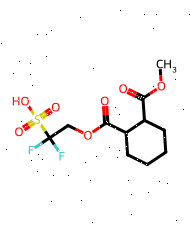 COC(=O)C1CCCCC1C(=O)OCC(F)(F)S(=O)(=O)O